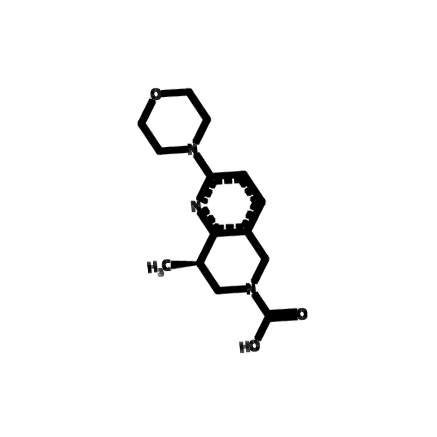 C[C@@H]1CN(C(=O)O)Cc2ccc(N3CCOCC3)nc21